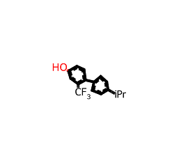 CC(C)c1ccc(-c2ccc(O)cc2C(F)(F)F)cc1